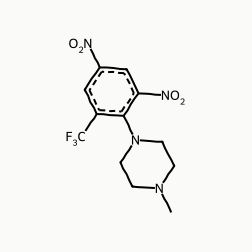 CN1CCN(c2c([N+](=O)[O-])cc([N+](=O)[O-])cc2C(F)(F)F)CC1